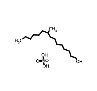 CCCCCCC(C)CCCCCCCCO.O=S(=O)(O)O